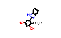 CCOC(=O)c1c(O)cc(O)cc1-c1nc2ccccc2[nH]1